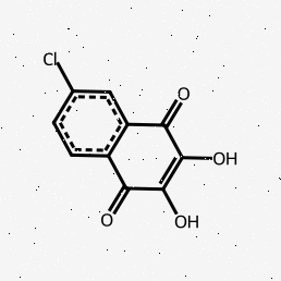 O=C1C(O)=C(O)C(=O)c2cc(Cl)ccc21